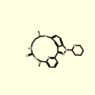 C[C@@H]1CCNC(=O)O[C@H](C)c2cccc(n2)-c2nn(C3CCCCO3)c3ccc(cc23)O1